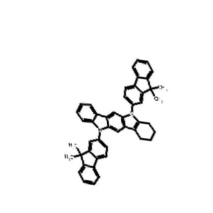 CC1(C)c2ccccc2-c2ccc(-n3c4c(c5cc6c(cc53)c3ccccc3n6-c3ccc5c(c3)C(C)(C)c3ccccc3-5)CCCC4)cc21